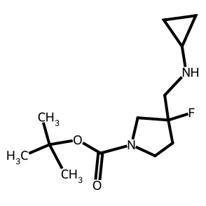 CC(C)(C)OC(=O)N1CCC(F)(CNC2CC2)C1